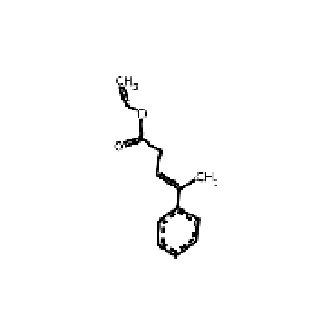 C=COC(=O)CC=C(C)c1ccccc1